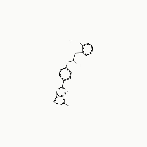 COc1ccccc1CC(O)Nc1ccc(-c2nn3c(C)ncc3o2)cc1